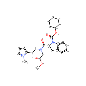 COC(=O)CN(CCc1cccn1C)C(=O)[C@H]1Cc2ccccc2N1C(=O)OC1CCCCC1